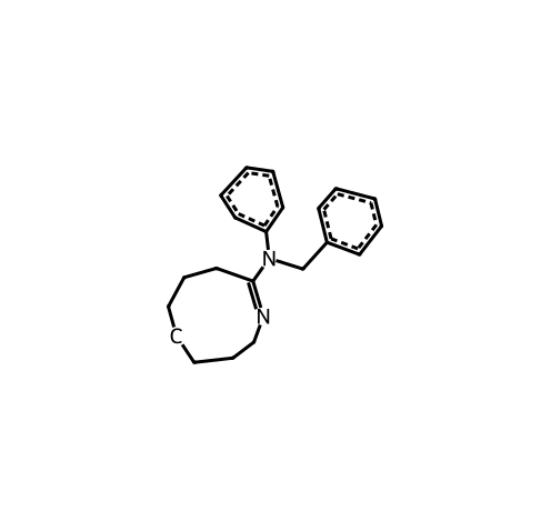 c1ccc(CN(C2=NCCCCCCC2)c2ccccc2)cc1